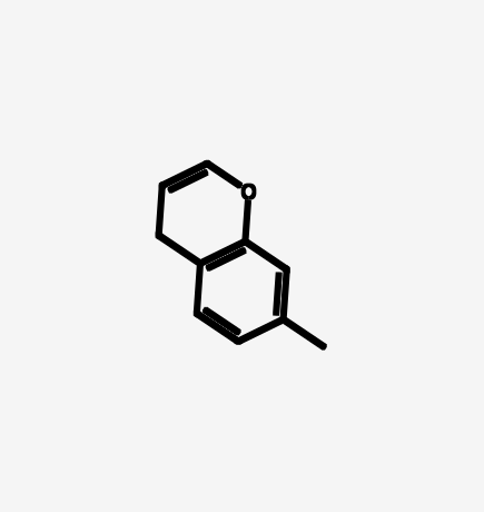 Cc1ccc2c(c1)OC=CC2